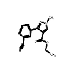 CCOC(=O)c1cn(C)nc1-c1cccc(C#N)c1